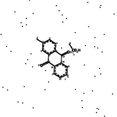 CC(=O)O.Cc1ccc2c(c1)C(=O)c1ccccc1C2=O